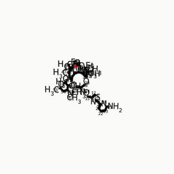 CCC(=O)/N=C1\[C@H](C)C[C@@]2(C)OC/C(=N/OCc3csc(-c4cccc(N)n4)n3)CO[C@H]([C@H]1C)[C@](C)(O)[C@@H](CC)OC(=O)[C@@](C)(F)C(=O)C(C)[C@H]2O[C@@H]1O[C@H](C)C[C@H](N(C)C)[C@H]1O